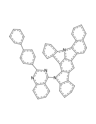 c1ccc(-c2ccc(-c3nc(-n4c5ccccc5c5cc6c7ccc8ccccc8c7n7c8ccccc8c(c54)c67)c4ccccc4n3)cc2)cc1